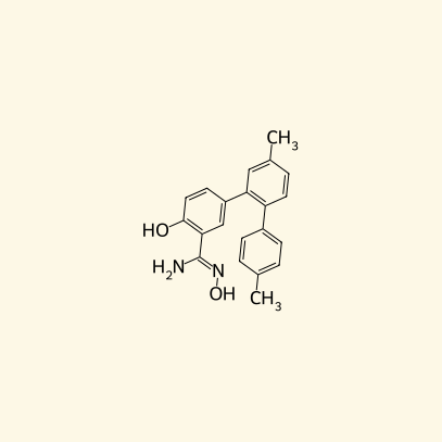 Cc1ccc(-c2ccc(C)cc2-c2ccc(O)c(C(N)=NO)c2)cc1